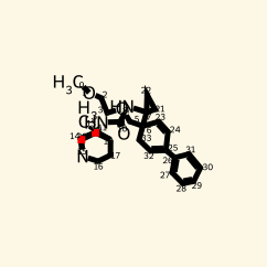 COCCOCC1(C2(NC(=O)N[C@@]3(C)CN4CCC3CC4)CC2)C=CC(c2ccccc2)=CC1